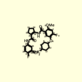 COc1cc(F)c(OC2CCC(C=O)CC2)cc1C(=O)NC1=C(C(=O)Nc2ccc(F)c(C(F)(F)F)c2)CCC1